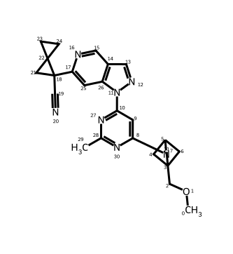 COCC12CC(C1)N(c1cc(-n3ncc4cnc(C5(C#N)CC56CC6)cc43)nc(C)n1)C2